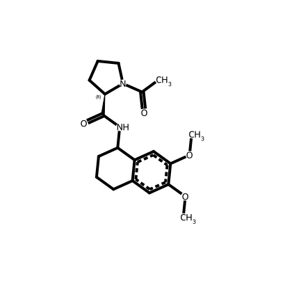 COc1cc2c(cc1OC)C(NC(=O)[C@H]1CCCN1C(C)=O)CCC2